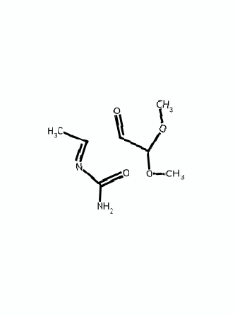 CC=NC(N)=O.COC(C=O)OC